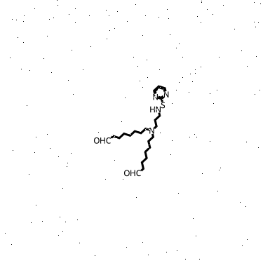 O=CCCCCCCCN(CCCCCCCC=O)CCCNSc1ncccn1